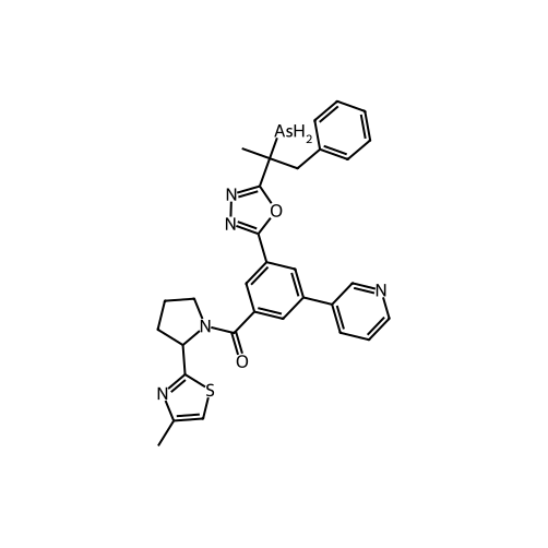 Cc1csc(C2CCCN2C(=O)c2cc(-c3cccnc3)cc(-c3nnc(C(C)([AsH2])Cc4ccccc4)o3)c2)n1